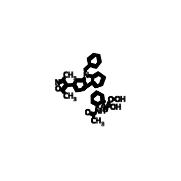 CC(=O)Nc1ccccc1[As](=O)(O)OO.Cc1noc(C)c1-c1ccc2c3ccccc3n(Cc3ccccc3)c2c1